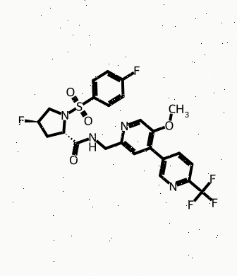 COc1cnc(CNC(=O)[C@@H]2C[C@@H](F)CN2S(=O)(=O)c2ccc(F)cc2)cc1-c1ccc(C(F)(F)F)nc1